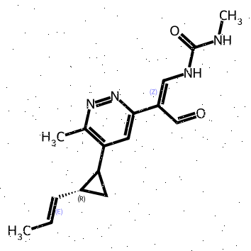 C/C=C/[C@H]1CC1c1cc(/C(C=O)=C/NC(=O)NC)nnc1C